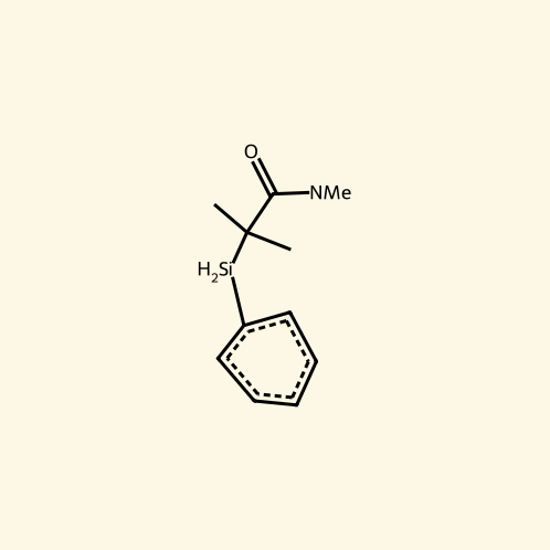 CNC(=O)C(C)(C)[SiH2]c1ccccc1